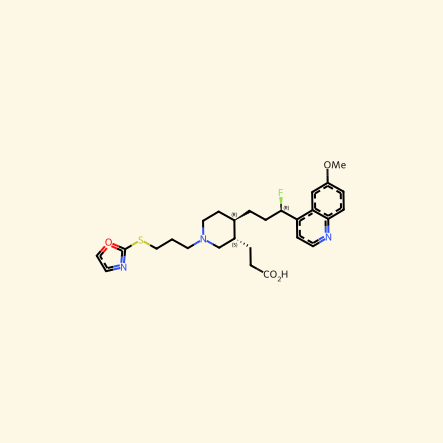 COc1ccc2nccc([C@H](F)CC[C@@H]3CCN(CCCSc4ncco4)C[C@H]3CCC(=O)O)c2c1